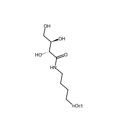 CCCCCCCCCCCCNC(=O)[C@H](O)[C@H](O)CO